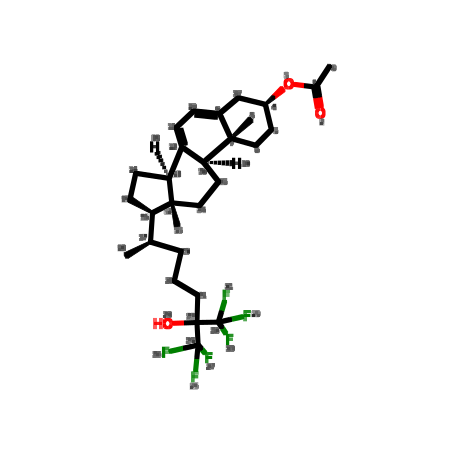 CC(=O)O[C@H]1CC[C@@]2(C)C(=CC=C3[C@@H]4CC[C@H]([C@H](C)CCCC(O)(C(F)(F)F)C(F)(F)F)[C@@]4(C)CC[C@@H]32)C1